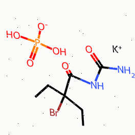 CCC(Br)(CC)C(=O)NC(N)=O.O=P([O-])(O)O.[K+]